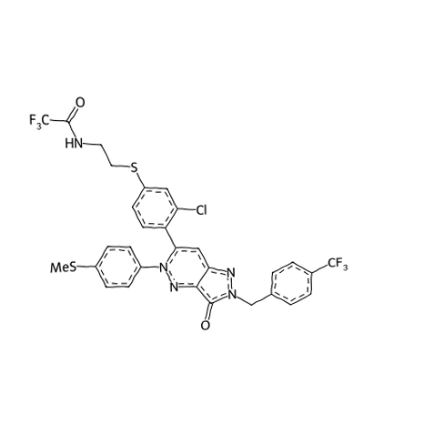 CSc1ccc(-n2nc3c(=O)n(Cc4ccc(C(F)(F)F)cc4)nc-3cc2-c2ccc(SCCNC(=O)C(F)(F)F)cc2Cl)cc1